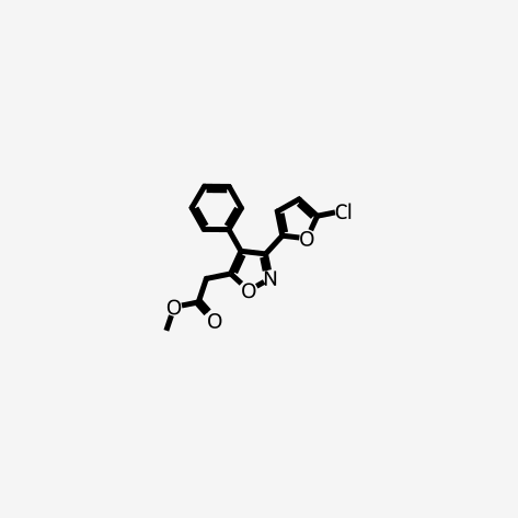 COC(=O)Cc1onc(-c2ccc(Cl)o2)c1-c1ccccc1